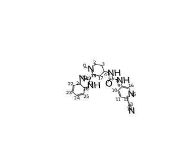 CN1CC[C@@H](NC(=O)Nc2ccc(C#N)nc2)C[C@@H]1C1=NC2C=CC=CC2N1